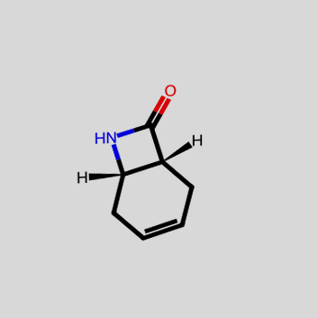 O=C1N[C@H]2CC=CC[C@@H]12